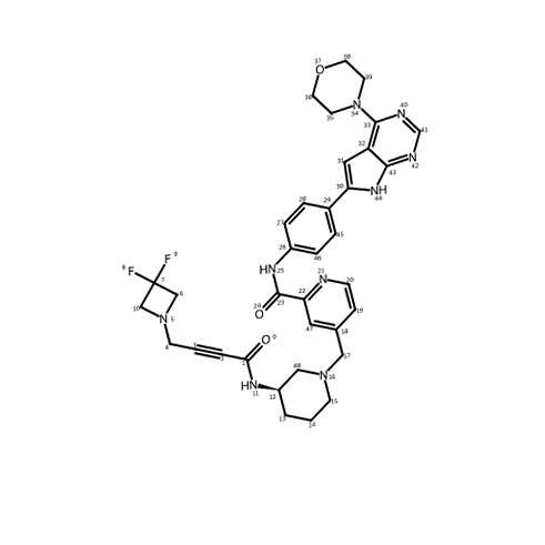 O=C(C#CCN1CC(F)(F)C1)N[C@@H]1CCCN(Cc2ccnc(C(=O)Nc3ccc(-c4cc5c(N6CCOCC6)ncnc5[nH]4)cc3)c2)C1